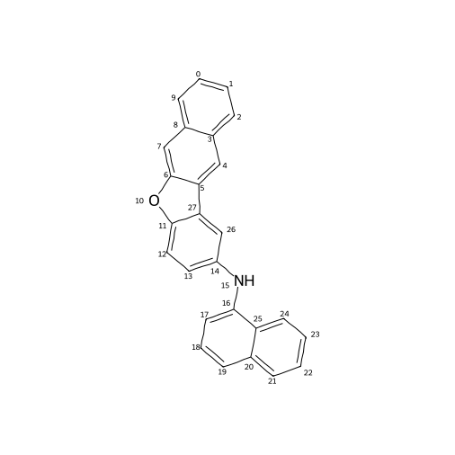 c1ccc2cc3c(cc2c1)oc1ccc(Nc2cccc4ccccc24)cc13